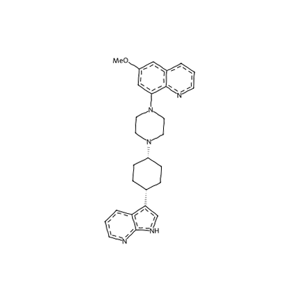 COc1cc(N2CCN([C@H]3CC[C@@H](c4c[nH]c5ncccc54)CC3)CC2)c2ncccc2c1